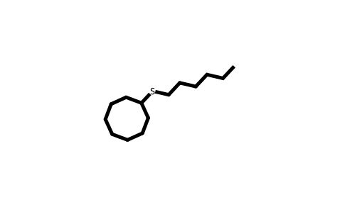 CCCCCCSC1CCCCCCC1